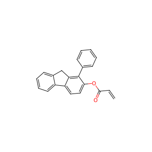 C=CC(=O)Oc1ccc2c(c1-c1ccccc1)Cc1ccccc1-2